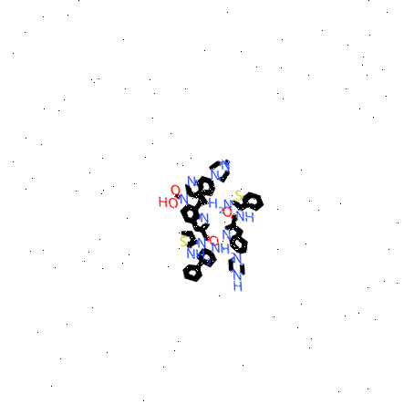 CN1CCN(c2ccc3cc(N(C(=O)O)c4ccc5cc(C(=O)N(c6cc(-c7ccccc7)ccc6N)c6ccsc6N)cnc5c4C4CC4)cnc3c2)CC1.Nc1sc2ccccc2c1NC(=O)c1cnc2cc(N3CCNCC3)ccc2c1